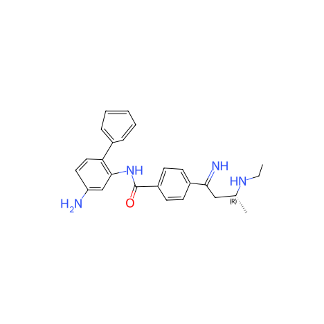 CCN[C@H](C)CC(=N)c1ccc(C(=O)Nc2cc(N)ccc2-c2ccccc2)cc1